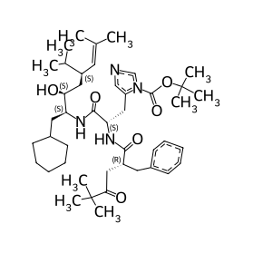 CC(C)=C[C@@H](C[C@H](O)[C@H](CC1CCCCC1)NC(=O)[C@H](Cc1cncn1C(=O)OC(C)(C)C)NC(=O)[C@@H](CC(=O)C(C)(C)C)Cc1ccccc1)C(C)C